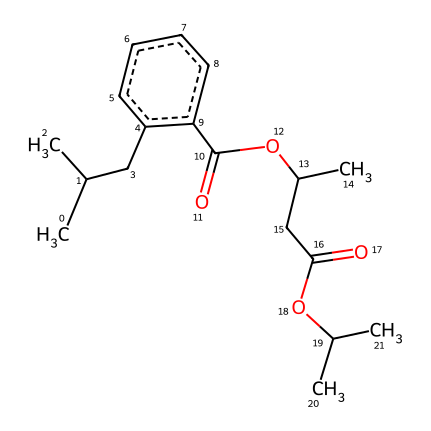 CC(C)Cc1ccccc1C(=O)OC(C)CC(=O)OC(C)C